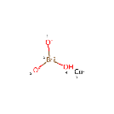 [Co].[O-][Br+2]([O-])O